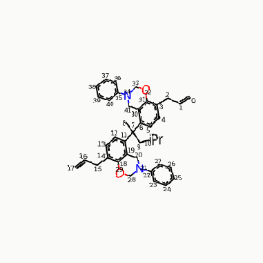 C=CCc1ccc(C(C)(CC(C)C)c2ccc(CC=C)c3c2CN(c2ccccc2)CO3)c2c1OCN(c1ccccc1)C2